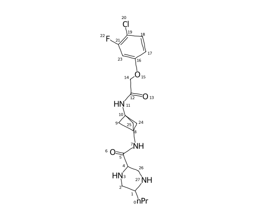 CCCC1CNC(C(=O)NC23CC(NC(=O)COc4ccc(Cl)c(F)c4)(C2)C3)CN1